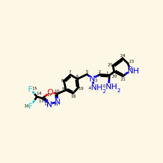 N/C(=C\N(N)Cc1ccc(-c2nnc(C(F)F)o2)cc1)C1=CNCC=C1